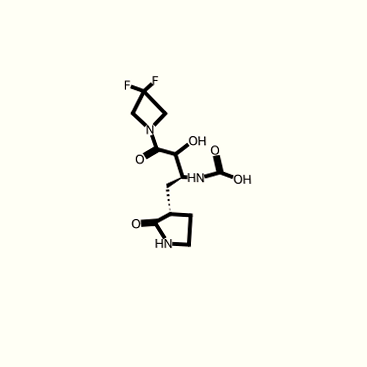 O=C(O)N[C@@H](C[C@@H]1CCNC1=O)C(O)C(=O)N1CC(F)(F)C1